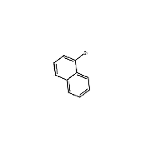 Brc1cc[c]c2ccccc12